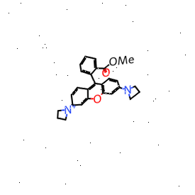 COC(=O)c1ccccc1-c1c2ccc(=[N+]3CCC3)cc-2oc2cc(N3CCC3)ccc12